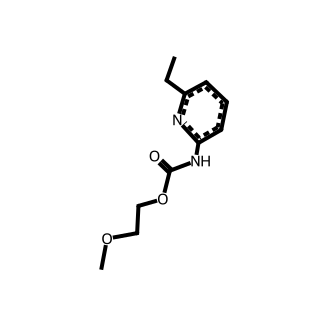 CCc1cccc(NC(=O)OCCOC)n1